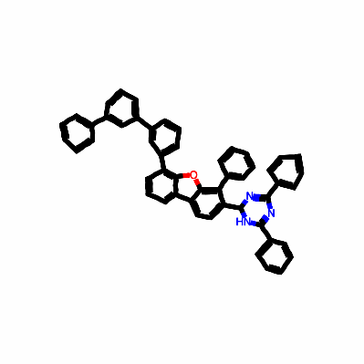 c1ccc(C2=NC(c3ccc4c(oc5c(-c6cccc(-c7cccc(-c8ccccc8)c7)c6)cccc54)c3-c3ccccc3)NC(c3ccccc3)=N2)cc1